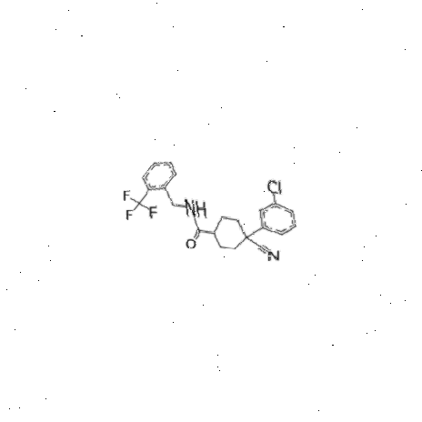 N#CC1(c2cccc(Cl)c2)CCC(C(=O)NCc2ccccc2C(F)(F)F)CC1